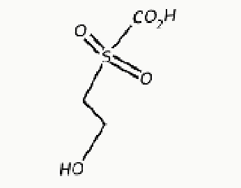 O=C(O)S(=O)(=O)CCO